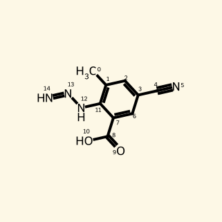 Cc1cc(C#N)cc(C(=O)O)c1NN=N